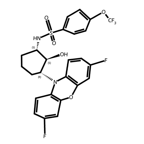 O=S(=O)(N[C@H]1CCC[C@@H](N2c3ccc(F)cc3Oc3cc(F)ccc32)[C@@H]1O)c1ccc(OC(F)(F)F)cc1